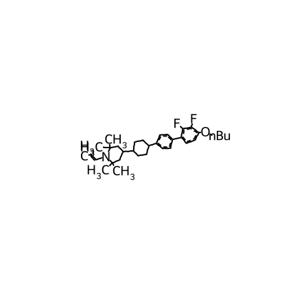 C/C=C/N1C(C)(C)CC(C2CCC(c3ccc(-c4ccc(OCCCC)c(F)c4F)cc3)CC2)CC1(C)C